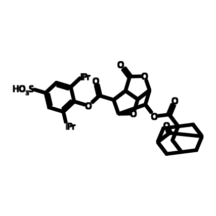 CC(C)c1cc(S(=O)(=O)O)cc(C(C)C)c1OC(=O)C1C2OC3C(OC(=O)C31)C2OC(=O)C12CC3CC(C1)C(=O)C(C3)C2